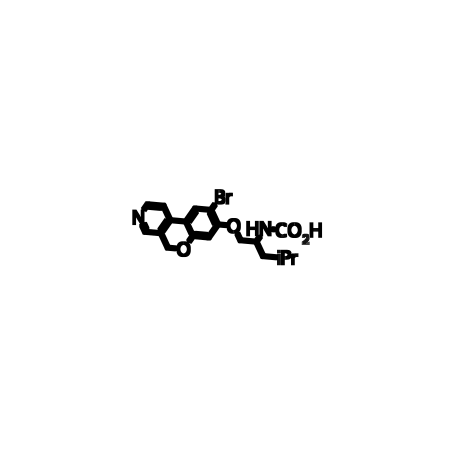 CC(C)CC(COc1cc2c(cc1Br)-c1ccncc1CO2)NC(=O)O